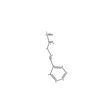 CO[SiH2]CC=Cc1ccccc1